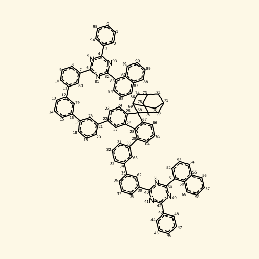 c1ccc(-c2nc(-c3cccc(-c4cccc(-c5cccc(-c6ccc7c(c6)-c6c(-c8cccc(-c9cccc(-c%10nc(-c%11ccccc%11)nc(-c%11cccc%12ccccc%11%12)n%10)c9)c8)cccc6C76C7CC8CC(C7)CC6C8)c5)c4)c3)nc(-c3cccc4ccccc34)n2)cc1